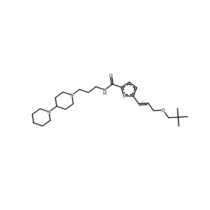 CC(C)(C)COC/C=C/c1ccc(C(=O)NCCCN2CCC(N3CCCCC3)CC2)s1